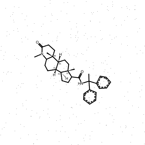 CN1C(=O)CC[C@@]2(C)C1CC[C@@H]1[C@H]2CC[C@]2(C)C(C(=O)NC(C)(c3ccccc3)c3ccccc3)CC[C@@H]12